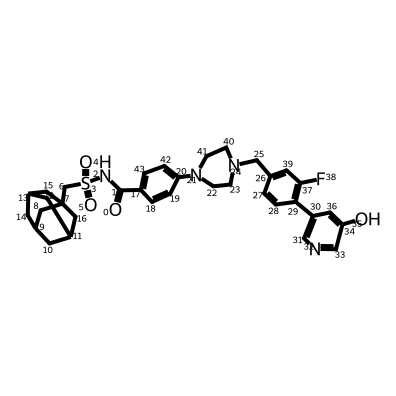 O=C(NS(=O)(=O)CC12CC3CC(CC(C3)C1)C2)c1ccc(N2CCN(Cc3ccc(-c4cncc(O)c4)c(F)c3)CC2)cc1